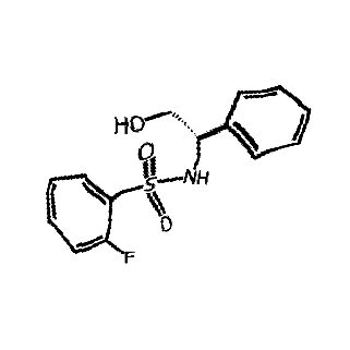 O=S(=O)(N[C@H](CO)c1ccccc1)c1ccccc1F